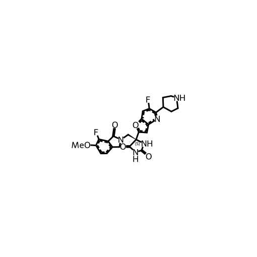 COc1ccc2c(c1F)C(=O)N(C[C@@]1(c3cc4nc(C5CCNCC5)c(F)cc4o3)NC(=O)NC1=O)C2